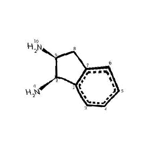 N[C@@H]1c2ccccc2C[C@@H]1N